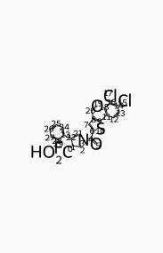 O=C(O)C1CN(C(=O)c2cc3c(s2)-c2ccc(Cl)c(Cl)c2OC3)CC1c1ccccc1F